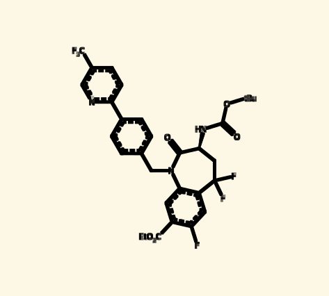 CCOC(=O)c1cc2c(cc1F)C(F)(F)C[C@H](NC(=O)OC(C)(C)C)C(=O)N2Cc1ccc(-c2ccc(C(F)(F)F)cn2)cc1